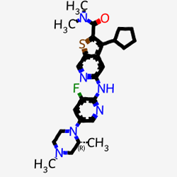 C[C@@H]1CN(C)CCN1c1cnc(Nc2cc3c(C4CCCC4)c(C(=O)N(C)C)sc3cn2)c(F)c1